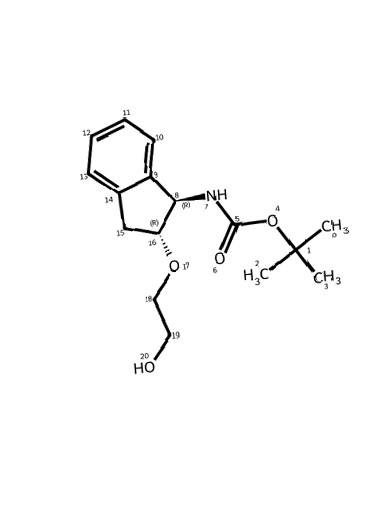 CC(C)(C)OC(=O)N[C@@H]1c2ccccc2C[C@H]1OCCO